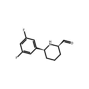 O=C[C@H]1CCC[C@@H](c2cc(F)cc(F)c2)N1